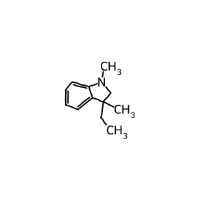 CCC1(C)CN(C)c2ccccc21